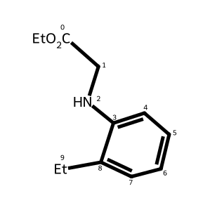 CCOC(=O)CNc1ccccc1CC